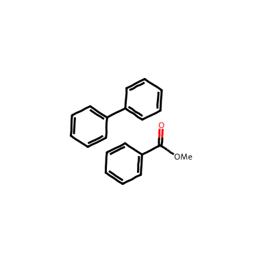 COC(=O)c1ccccc1.c1ccc(-c2ccccc2)cc1